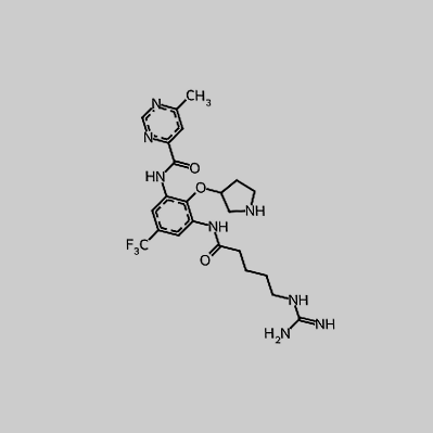 Cc1cc(C(=O)Nc2cc(C(F)(F)F)cc(NC(=O)CCCCNC(=N)N)c2OC2CCNC2)ncn1